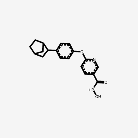 O=C(NO)c1ccc(Oc2ccc(C3CC4CCC3C4)cc2)nc1